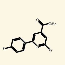 COC(=O)c1cc(Br)nc(-c2ccc(F)cc2)c1